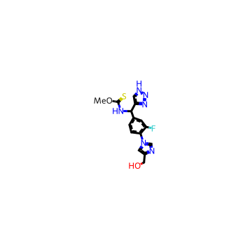 COC(=S)NC(c1ccc(-n2cnc(CO)c2)c(F)c1)c1c[nH]nn1